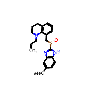 C=CCN1CCCc2cccc(C[S+]([O-])c3nc4cc(OC)ccc4[nH]3)c21